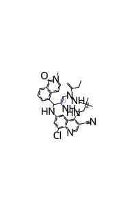 C=C(CC)N(N)/C=C(\N)C(Nc1cc(Cl)c2ncc(C#N)c(NCC(C)(C)C)c2c1)c1cccc2c(=O)n(C)ccc12